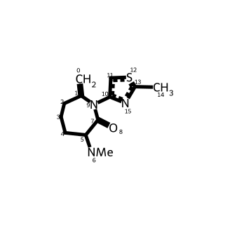 C=C1CCCC(NC)C(=O)N1c1csc(C)n1